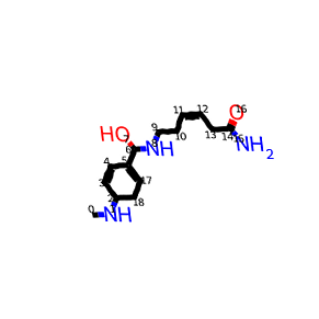 CNC1C=CC(C(O)NCC/C=C\CC(N)=O)=CC1